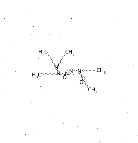 CCCCCCCCCN(CCCOC(=O)CCCCC)CCCN1CCN(C(=O)CCN(CCCCCCCCC)CCN(CCCCCCCCC)CCCCCCCCC)CC1